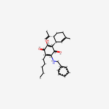 C=C(C)[C@@H]1CCC(C)=C[C@H]1C1=C(O)C(=O)C(CCCCC)=C(NCc2ccccc2)C1=O